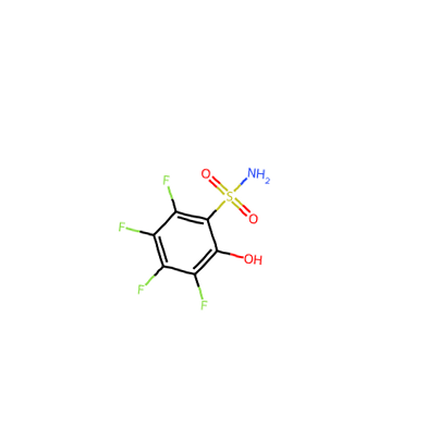 NS(=O)(=O)c1c(O)c(F)c(F)c(F)c1F